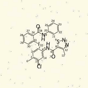 Cc1ccc(NC(=O)c2snnc2C)cc1Cl.O=C(Nc1ccccc1)c1ccccc1I